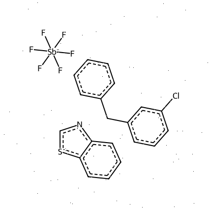 Clc1cccc(Cc2ccccc2)c1.[F][Sb-]([F])([F])([F])([F])[F].c1ccc2scnc2c1